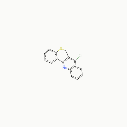 Clc1c2c(nc3ccccc13)-c1ccccc1SC2